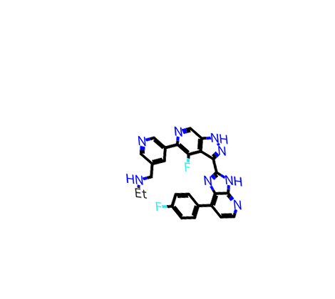 CCNCc1cncc(-c2ncc3[nH]nc(-c4nc5c(-c6ccc(F)cc6)ccnc5[nH]4)c3c2F)c1